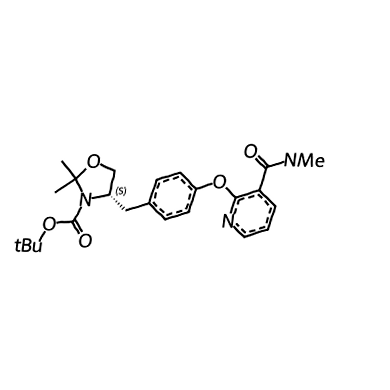 CNC(=O)c1cccnc1Oc1ccc(C[C@H]2COC(C)(C)N2C(=O)OC(C)(C)C)cc1